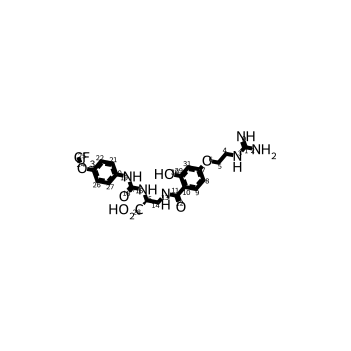 N=C(N)NCCOc1ccc(C(=O)NC[C@H](NC(=O)Nc2ccc(OC(F)(F)F)cc2)C(=O)O)c(O)c1